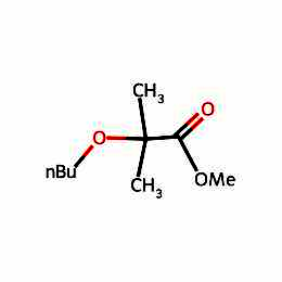 CCCCOC(C)(C)C(=O)OC